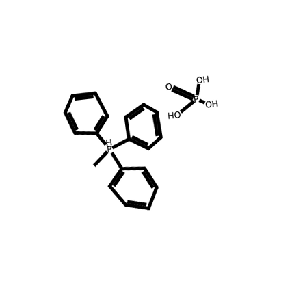 C[PH](c1ccccc1)(c1ccccc1)c1ccccc1.O=P(O)(O)O